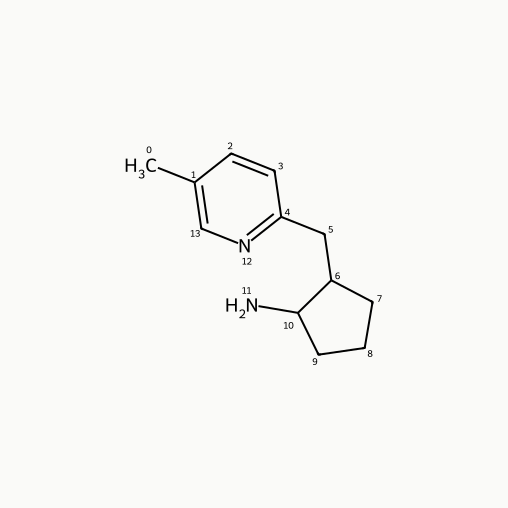 Cc1ccc(CC2CCCC2N)nc1